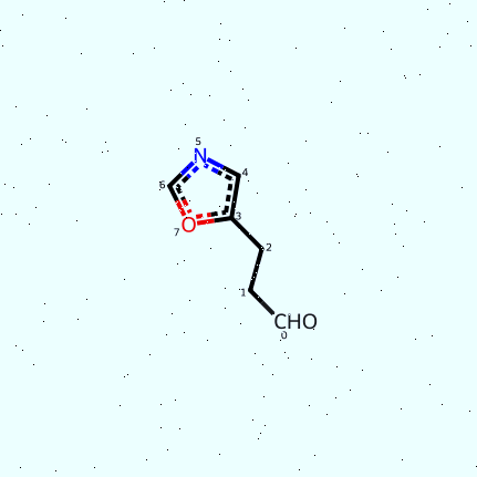 O=CCCc1cnco1